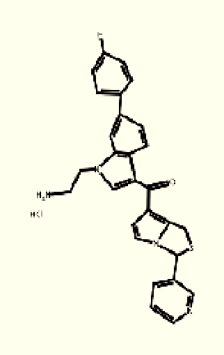 Cl.NCCn1cc(C(=O)c2ccn3c2CSC3c2cccnc2)c2ccc(-c3ccc(F)cc3)cc21